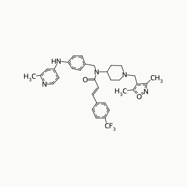 Cc1cc(Nc2ccc(CN(C(=O)/C=C/c3ccc(C(F)(F)F)cc3)C3CCN(Cc4c(C)noc4C)CC3)cc2)ccn1